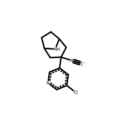 [C-]#[N+]C1(c2cncc(Cl)c2)CC2CCC(C1)N2